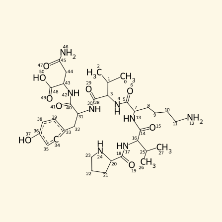 CC(C)C(NC(=O)C(CCCCN)NC(=O)C(NC(=O)C1CCCN1)C(C)C)C(=O)NC(Cc1ccc(O)cc1)C(=O)NC(CC(N)=O)C(=O)O